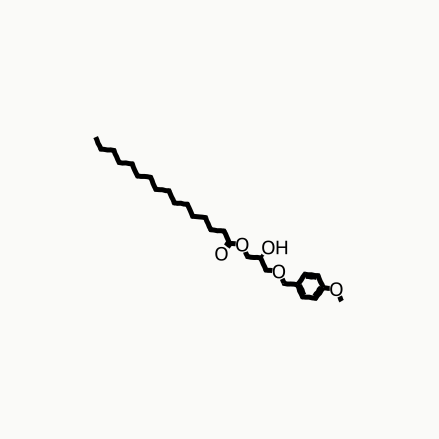 CCCCCCCCCCCCCCCC(=O)OC[C@@H](O)COCc1ccc(OC)cc1